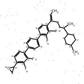 C/C=C(\CCC(C)C1CCC(C)CC1)c1ccc(-c2ccc(-c3ccc(C4CO4)c(F)c3F)cc2)c(F)c1F